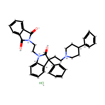 Cl.O=C1c2ccccc2C(=O)N1CCN1C(=O)C(CCN2CCC(c3ccccc3)CC2)(c2ccccc2)c2ccccc21